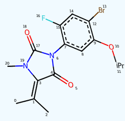 CC(C)=C1C(=O)N(c2cc(OC(C)C)c(Br)cc2F)C(=O)N1C